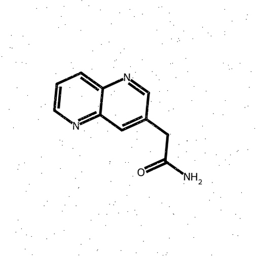 NC(=O)Cc1cnc2cccnc2c1